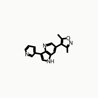 Cc1noc(C)c1-c1cnc2c(-c3cccnc3)c[nH]c2c1